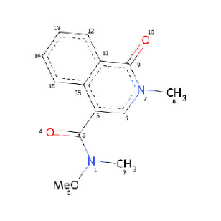 CON(C)C(=O)c1cn(C)c(=O)c2ccccc12